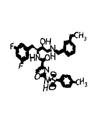 CCc1cccc(CNC[C@H](O)[C@H](Cc2cc(F)cc(F)c2)NC(=O)c2coc(NS(=O)(=O)c3ccc(C)cc3)n2)c1